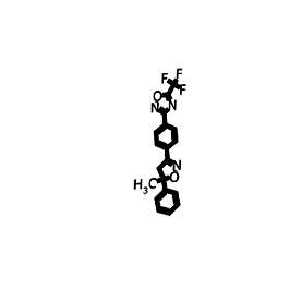 CC1(c2ccccc2)CC(c2ccc(-c3noc(C(F)(F)F)n3)cc2)=NO1